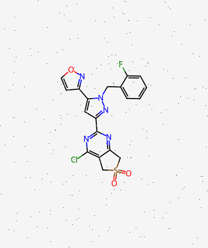 O=S1(=O)Cc2nc(-c3cc(-c4ccon4)n(Cc4ccccc4F)n3)nc(Cl)c2C1